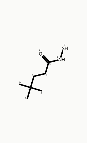 CC(C)(C)CCC(=O)NS